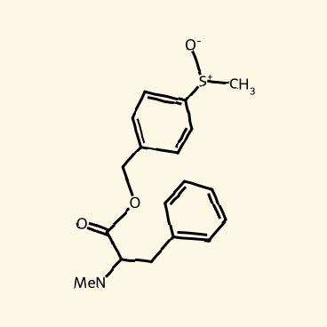 CNC(Cc1ccccc1)C(=O)OCc1ccc([S+](C)[O-])cc1